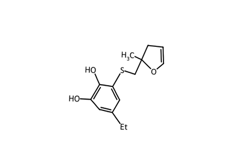 CCc1cc(O)c(O)c(SCC2(C)CC=CO2)c1